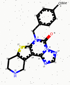 COc1ccc(Cn2c(=O)n3ncnc3c3c4c(sc32)CCNC4)cc1